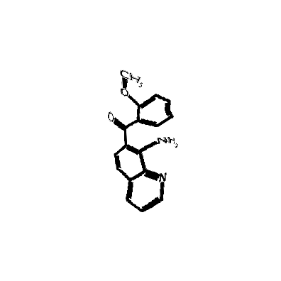 COc1ccccc1C(=O)c1ccc2cccnc2c1N